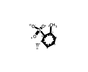 Cc1ccccc1S(=O)(=O)[O-].[Tl+]